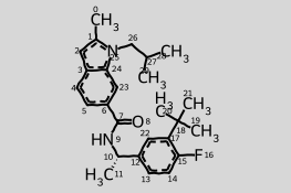 Cc1cc2ccc(C(=O)N[C@@H](C)c3ccc(F)c(C(C)(C)C)c3)cc2n1CC(C)C